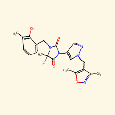 Cc1cccc(CN2C(=O)N(c3cnn(Cc4c(C)noc4C)c3)C(=O)C2(C)C)c1O